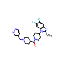 CSc1nc2cc(F)c(F)cc2n1C1CCN(C(=O)C2CCN(Cc3ccnnc3)CC2)CC1